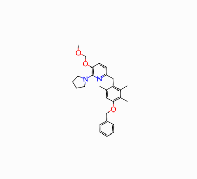 COCOc1ccc(Cc2c(C)cc(OCc3ccccc3)c(C)c2C)nc1N1CCCC1